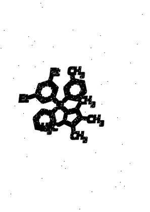 CCc1cc(CC)cc([Si](C2=C(C)C(C)=C(C)C2C)(c2ccccc2)c2cccc(C)c2)c1